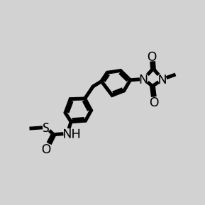 CSC(=O)Nc1ccc(Cc2ccc(N3C(=O)N(C)C3=O)cc2)cc1